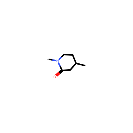 [CH2]N1CCC(C)CC1=O